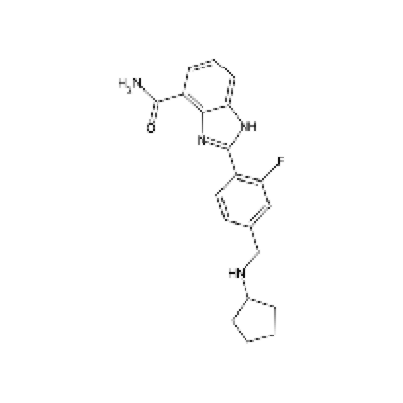 NC(=O)c1cccc2[nH]c(-c3ccc(CNC4CCCC4)cc3F)nc12